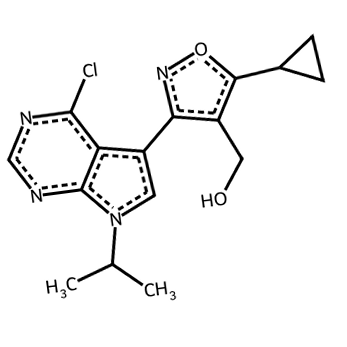 CC(C)n1cc(-c2noc(C3CC3)c2CO)c2c(Cl)ncnc21